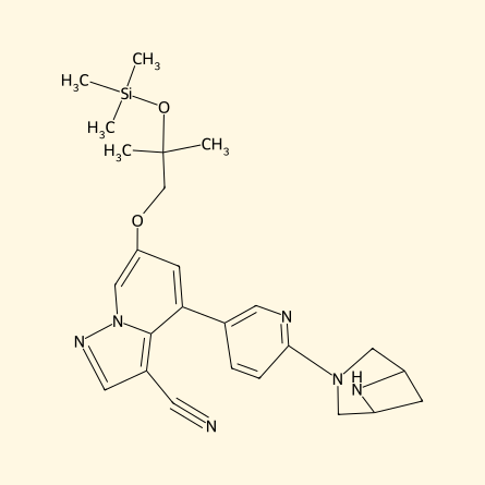 CC(C)(COc1cc(-c2ccc(N3CC4CC(C3)N4)nc2)c2c(C#N)cnn2c1)O[Si](C)(C)C